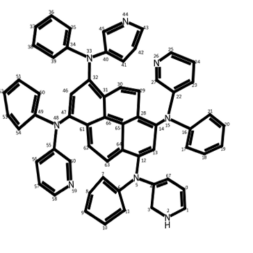 C1=CNCC(N(c2ccccc2)c2cc(N(c3ccccc3)c3cccnc3)c3ccc4c(N(c5ccccc5)c5cccnc5)cc(N(c5ccccc5)c5cccnc5)c5ccc2c3c54)=C1